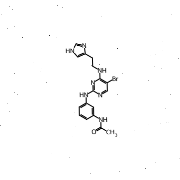 CC(=O)Nc1cccc(Nc2ncc(Br)c(NCCc3c[nH]cn3)n2)c1